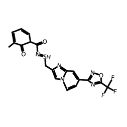 CC1=CC=CC(C(=O)N=[SH]Cc2cn3ccc(-c4noc(C(F)(F)F)n4)cc3n2)C1=O